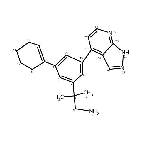 CC(C)(CN)c1cc(C2=CCCCC2)cc(-c2ccnc3[nH]ncc23)c1